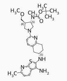 COC[C@@H]1CN(c2ccc3c(n2)CC[C@H](Nc2sc4nc(C)ccc4c2N)C3)C[C@H]1N(C)C(=O)OC(C)(C)C